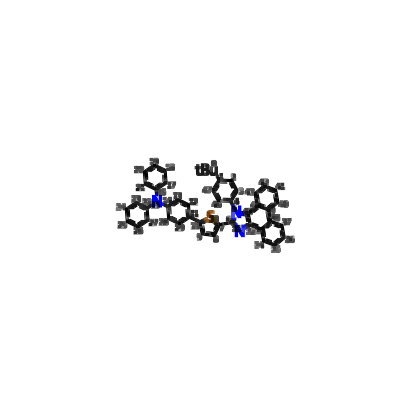 CC(C)(C)c1ccc(-n2c(-c3ccc(-c4ccc(N(c5ccccc5)c5ccccc5)cc4)s3)nc3c4ccccc4c4ccccc4c32)cc1